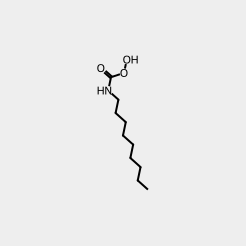 CCCCCCCCCNC(=O)OO